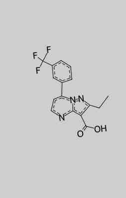 CCc1nn2c(-c3cccc(C(F)(F)F)c3)ccnc2c1C(=O)O